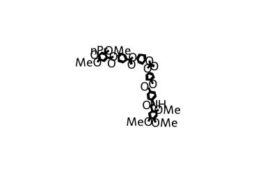 CCCOc1cc(OC)c(C(=O)Oc2ccc(C(=O)Oc3ccc(OC(=O)Oc4ccc(OC(=O)c5ccc(NC(=O)c6cc(OC)c(OC)cc6OC)cc5)cc4)cc3)cc2)cc1OC